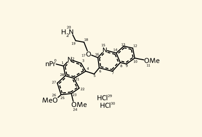 CCCc1ncc(Cc2cc3cc(OC)ccc3nc2OCCN)c2cc(OC)c(OC)cc12.Cl.Cl